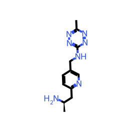 Cc1nnc(NCc2ccc(C[C@@H](C)N)nc2)nn1